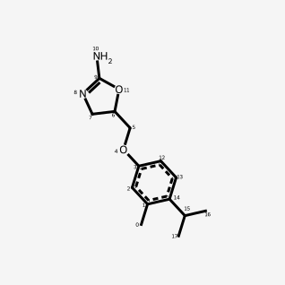 Cc1cc(OCC2CN=C(N)O2)ccc1C(C)C